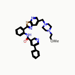 COCCN1CCN(Cc2cnc3sc(-c4ccccc4NC(=O)c4cncc(-c5ccccc5)c4)nc3c2)CC1